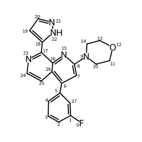 Fc1cccc(-c2cc(N3CCOCC3)nc3c(-c4ccn[nH]4)nccc23)c1